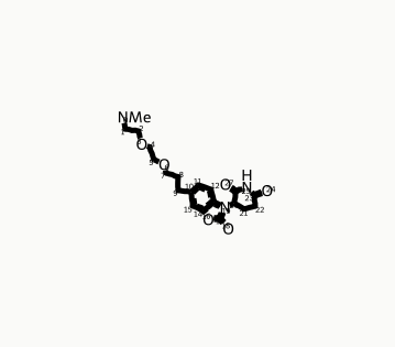 CNCCOCCOCCCc1ccc2c(c1)oc(=O)n2C1CCC(=O)NC1=O